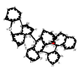 c1ccc2c(c1)Oc1cccc3c(-c4c5ccccc5c(-c5ccccc5-c5cccc6ccccc56)c5ccccc45)ccc-2c13